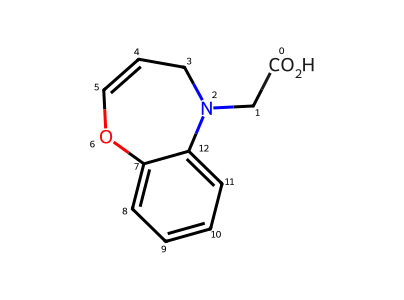 O=C(O)CN1CC=COc2ccccc21